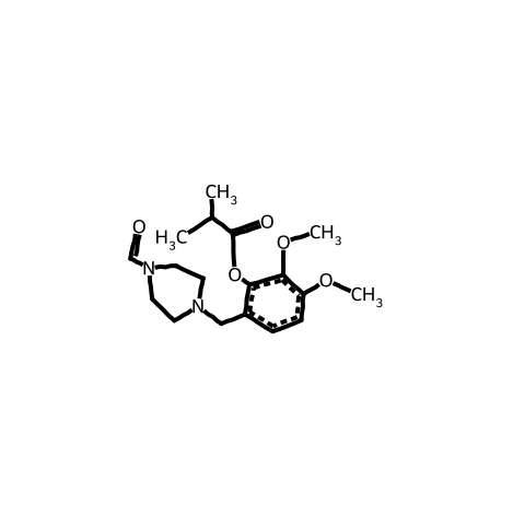 COc1ccc(CN2CCN(C=O)CC2)c(OC(=O)C(C)C)c1OC